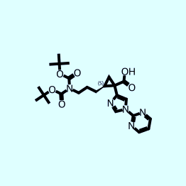 CC(C)(C)OC(=O)N(CCC[C@H]1CC1(C(=O)O)c1cn(-c2ncccn2)cn1)C(=O)OC(C)(C)C